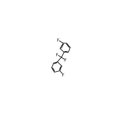 Fc1cccc(C(F)(F)c2cccc(F)c2)c1